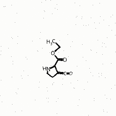 CCOC(=O)C1NCCC1=C=O